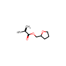 C=C(CCC)C(=O)OCC1CCCO1